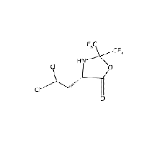 O=C1OC(C(F)(F)F)(C(F)(F)F)N[C@H]1CC(Cl)Cl